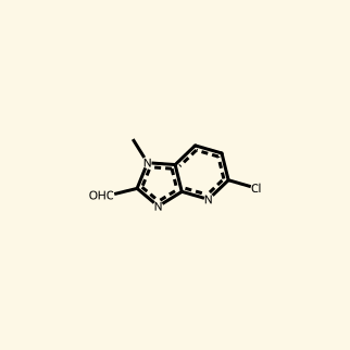 Cn1c(C=O)nc2nc(Cl)ccc21